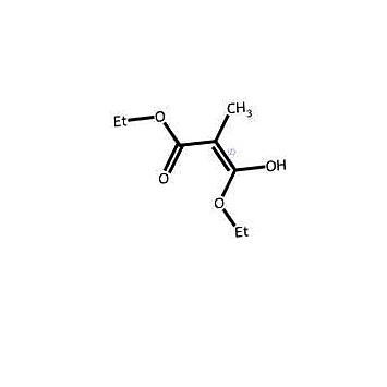 CCOC(=O)/C(C)=C(/O)OCC